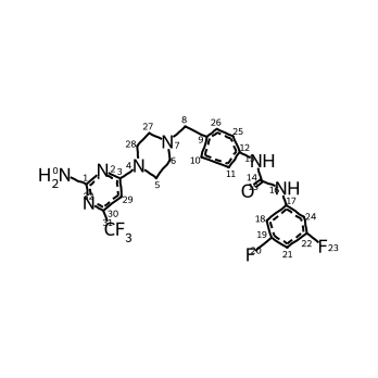 Nc1nc(N2CCN(Cc3ccc(NC(=O)Nc4cc(F)cc(F)c4)cc3)CC2)cc(C(F)(F)F)n1